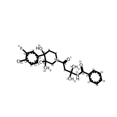 CC(C)(CC(=O)N1CCC(O)(c2ccc(Cl)c(F)c2)C(C)(C)C1)NC(=O)c1ccccc1